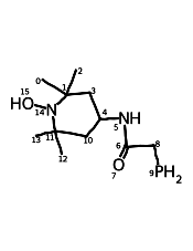 CC1(C)CC(NC(=O)CP)CC(C)(C)N1O